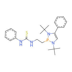 CC(C)(C)N1C=C(c2ccccc2)N(C(C)(C)C)P1CCNC(=S)Nc1ccccc1